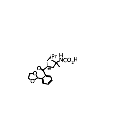 CC(C)C[C@H](CC(C)(C)NC(=O)O)C(=O)c1ccccc1C1OCCO1